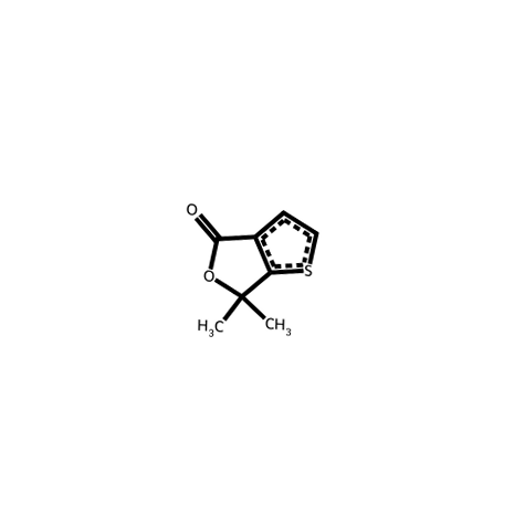 CC1(C)OC(=O)c2ccsc21